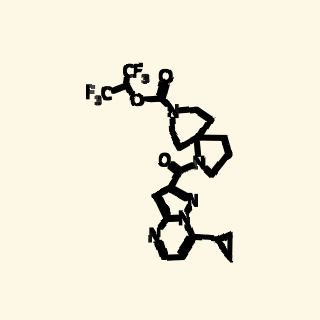 O=C(OC(C(F)(F)F)C(F)(F)F)N1CCC2(CCCN2C(=O)c2cc3nccc(C4CC4)n3n2)CC1